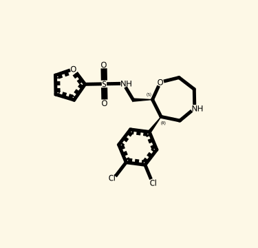 O=S(=O)(NC[C@H]1OCCNC[C@H]1c1ccc(Cl)c(Cl)c1)c1ccco1